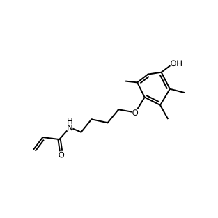 C=CC(=O)NCCCCOc1c(C)cc(O)c(C)c1C